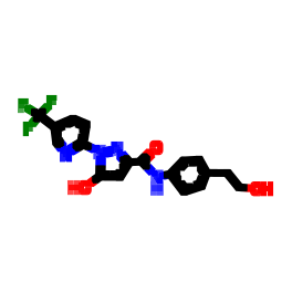 O=C(Nc1ccc(CCO)cc1)c1cc(O)n(-c2ccc(C(F)(F)F)cn2)n1